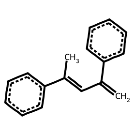 C=C(/C=C(\C)c1ccccc1)c1ccccc1